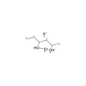 CCCCCC.CCO.[K+].[OH-]